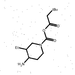 CCC1CN(C(=O)OC(=O)CC(C)(C)C)CCC1N